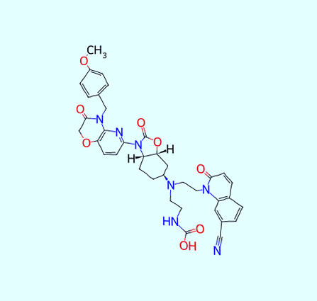 COc1ccc(CN2C(=O)COc3ccc(N4C(=O)O[C@@H]5C[C@@H](N(CCNC(=O)O)CCn6c(=O)ccc7ccc(C#N)cc76)CC[C@@H]54)nc32)cc1